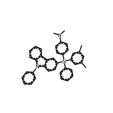 Cc1cc(C)cc([Si](c2ccccc2)(c2ccc(N(C)C)cc2)c2ccc3c(c2)c2ccccc2n3-c2ccccc2)c1